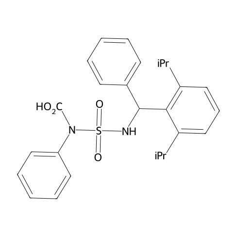 CC(C)c1cccc(C(C)C)c1C(NS(=O)(=O)N(C(=O)O)c1ccccc1)c1ccccc1